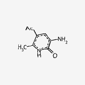 CC(=O)c1cc(N)c(=O)[nH]c1C